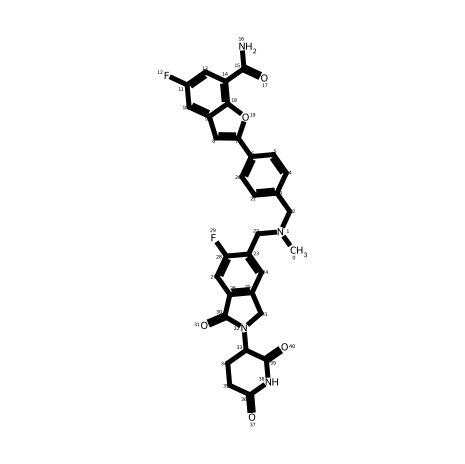 CN(Cc1ccc(-c2cc3cc(F)cc(C(N)=O)c3o2)cc1)Cc1cc2c(cc1F)C(=O)N(C1CCC(=O)NC1=O)C2